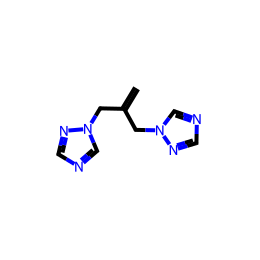 C=C(Cn1cncn1)Cn1cncn1